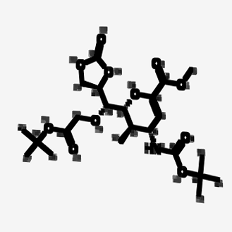 COC(=O)C1=C[C@H](NC(=O)OC(C)(C)C)[C@@H](C)[C@H]([C@H](OCC(=O)OC(C)(C)C)[C@H]2COC(=O)O2)O1